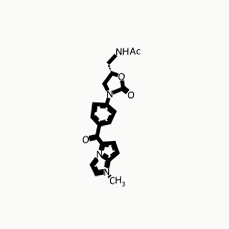 CC(=O)NC[C@H]1CN(c2ccc(C(=O)c3ccc4n(C)ccn34)cc2)C(=O)O1